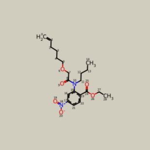 C=CCCCCOCC(=O)N(CCCC)c1cc([N+](=O)[O-])ccc1C(=O)OCC